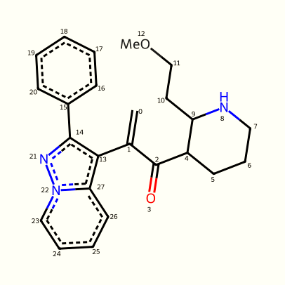 C=C(C(=O)C1CCCNC1CCOC)c1c(-c2ccccc2)nn2ccccc12